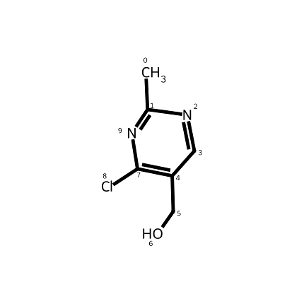 Cc1ncc(CO)c(Cl)n1